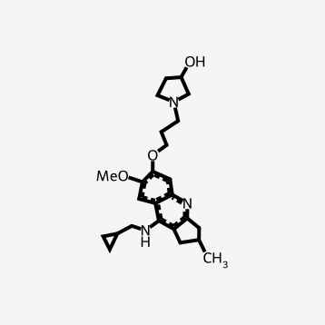 COc1cc2c(NCC3CC3)c3c(nc2cc1OCCCN1CCC(O)C1)CC(C)C3